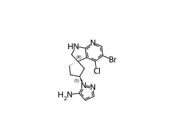 Nc1ccnn1[C@H]1CC[C@@]2(CNc3ncc(Br)c(Cl)c32)C1